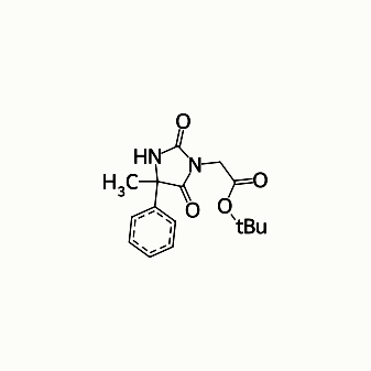 CC(C)(C)OC(=O)CN1C(=O)NC(C)(c2ccccc2)C1=O